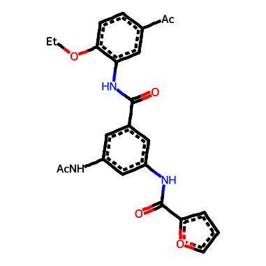 CCOc1ccc(C(C)=O)cc1NC(=O)c1cc(NC(C)=O)cc(NC(=O)c2ccco2)c1